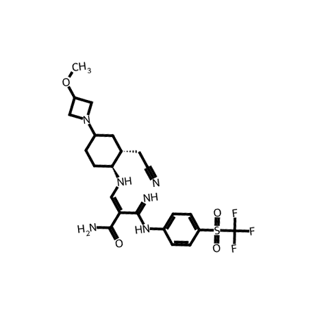 COC1CN(C2CC[C@H](N/C=C(\C(=N)Nc3ccc(S(=O)(=O)C(F)(F)F)cc3)C(N)=O)[C@@H](CC#N)C2)C1